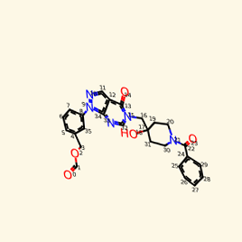 O=COCc1cccc(-n2ncc3c(=O)n(CC4(O)CCN(C(=O)c5ccccc5)CC4)cnc32)c1